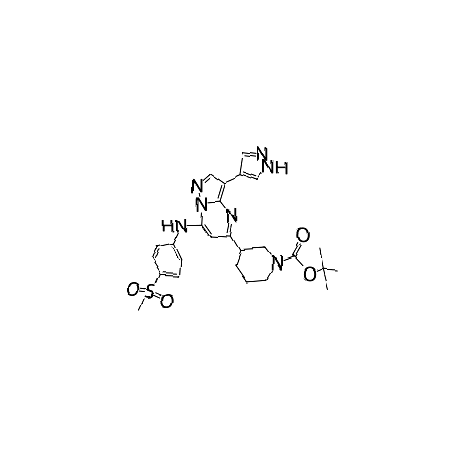 CC(C)(C)OC(=O)N1CCCC(c2cc(Nc3ccc(S(C)(=O)=O)cc3)n3ncc(-c4cn[nH]c4)c3n2)C1